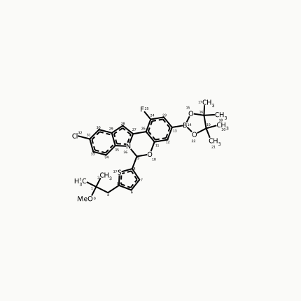 COC(C)(C)Cc1ccc(C2Oc3cc(B4OC(C)(C)C(C)(C)O4)cc(F)c3-c3cc4cc(Cl)ccc4n32)s1